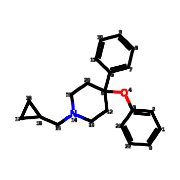 c1ccc(OC2(c3ccccc3)CCN(CC3CC3)CC2)cc1